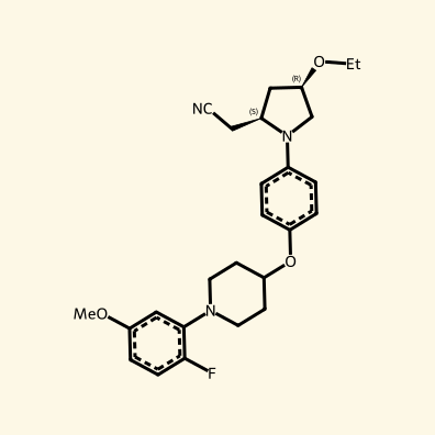 CCO[C@@H]1C[C@H](CC#N)N(c2ccc(OC3CCN(c4cc(OC)ccc4F)CC3)cc2)C1